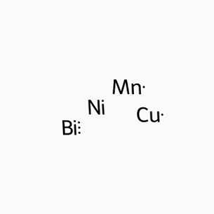 [Bi].[Cu].[Mn].[Ni]